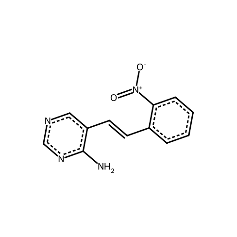 Nc1ncncc1C=Cc1ccccc1[N+](=O)[O-]